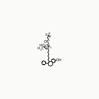 CC(C)(O)CN(CCCCCCC1=C(c2ccccc2)CCCc2cc(O)ccc21)CCC[S+]([O-])CCC(F)(F)F